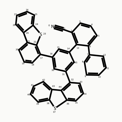 N#Cc1cccc(-c2ccccc2)c1-c1cc(-c2cccc3c2sc2ccccc23)cc(-c2cccc3sc4ccccc4c23)c1